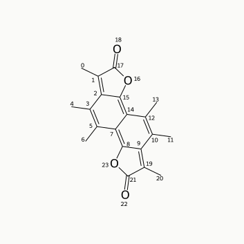 CC1=c2c(C)c(C)c3c4c(c(C)c(C)c3c2OC1=O)=C(C)C(=O)O4